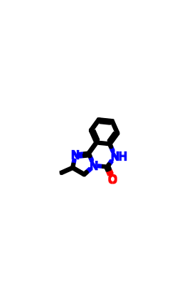 CC1CN2C(=O)Nc3ccccc3C2=N1